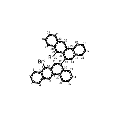 Brc1c2ccccc2cc2c1cc(-c1cc3ccccc3c3cc4ccccc4c(Br)c13)c1ccccc12